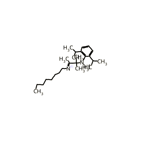 CCCCCCCC/N=C(\C)C(C)(C)[N]([Hf])c1c(C(C)C)cccc1C(C)C